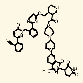 Cc1nn(C2CCC(=O)NC2=O)c(=O)c2cc(N3CCC(N4CCN(CC(=O)C5CNCCC5COc5ccnc(-c6ccccc6Cn6nc(-c7ccccc7C#N)ccc6=O)n5)CC4)CC3)ccc12